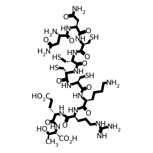 C[C@@H](O)[C@H](NC(=O)[C@H](CCC(=O)O)NC(=O)[C@H](CCCNC(=N)N)NC(=O)[C@H](CCCCN)NC(=O)[C@H](CS)NC(=O)[C@H](CS)NC(=O)[C@H](CS)NC(=O)[C@H](CS)NC(=O)[C@H](CC(N)=O)NC(=O)[C@@H](N)CC(N)=O)C(=O)O